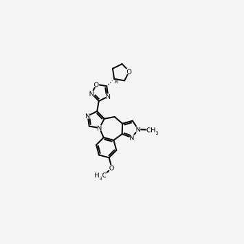 COc1ccc2c(c1)-c1nn(C)cc1Cc1c(-c3noc([C@@H]4CCOC4)n3)ncn1-2